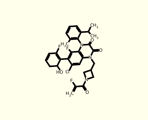 C=C(F)C(=O)N1CC(Cn2c(=O)c(=O)n(-c3c(C)cccc3C(C)C)c3c(F)c(C4=C(F)C=CCC4O)c(Cl)cc32)C1